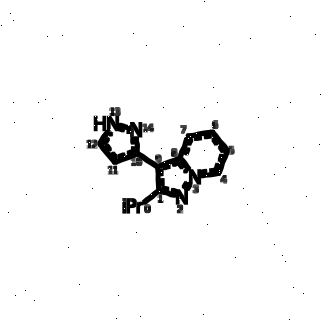 CC(C)c1nn2ccccc2c1-c1cc[nH]n1